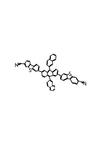 N#Cc1ccc2c(c1)sc1cc(-c3ccc4c(-c5ccc6ccccc6c5)c5cc(-c6ccc7c(c6)sc6cc(C#N)ccc67)ccc5c(-c5ccc6ccccc6c5)c4c3)ccc12